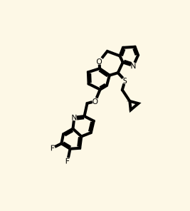 Fc1cc2ccc(COc3ccc4c(c3)C(SC[C]3CC3)c3ncccc3CO4)nc2cc1F